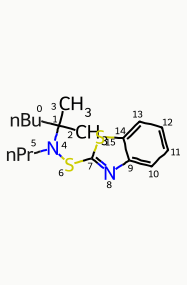 CCCCC(C)(C)N(CCC)Sc1nc2ccccc2s1